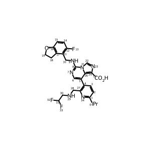 CC(C)c1ccc(-c2cnc(NCc3c(F)ccc4c3CCO4)n3cnc(C(=O)O)c23)c(CNCC(F)F)n1